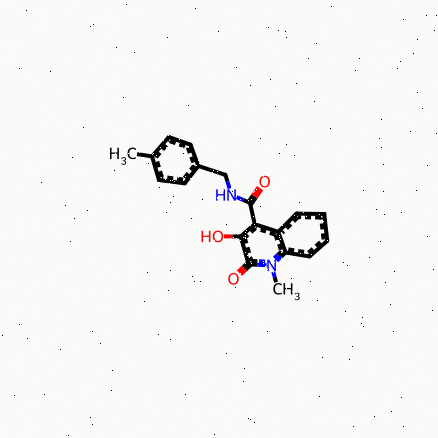 Cc1ccc(CNC(=O)c2c(O)c(=O)n(C)c3ccccc23)cc1